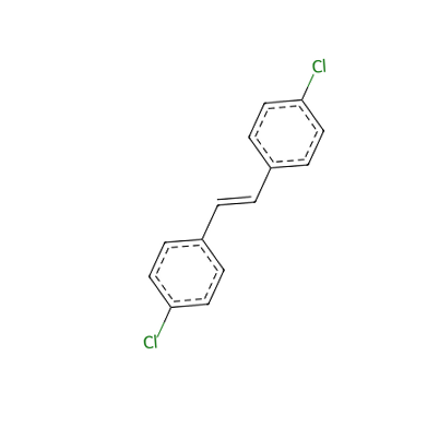 Clc1ccc(C=Cc2ccc(Cl)cc2)cc1